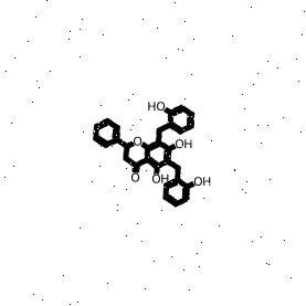 O=C1CC(c2ccccc2)Oc2c(Cc3ccccc3O)c(O)c(Cc3ccccc3O)c(O)c21